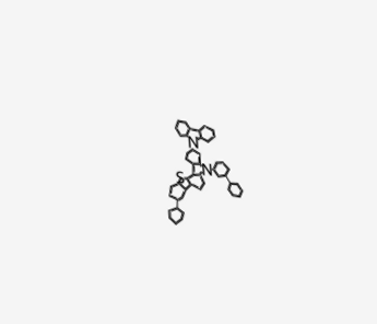 c1ccc(-c2cccc(-n3c4cc(-n5c6ccccc6c6ccccc65)ccc4c4c5sc6ccc(-c7ccccc7)cc6c5ccc43)c2)cc1